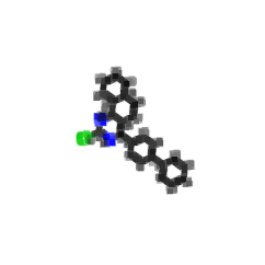 Clc1nc(-c2ccc(-c3ccccc3)cc2)c2ccc3ccccc3c2n1